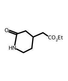 CCOC(=O)CC1CCNC(=O)C1